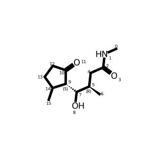 CNC(=O)C[C@@H](C)C(O)[C@H]1C(=O)CCC1C